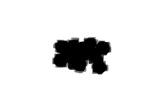 c1ccc(-c2nc(-c3ccccc3)nc(-c3ccc(-n4c5ccccc5c5c6c(c7ccccc7n6-c6ccccc6)c6oc7ccccc7c6c54)c4oc5ccccc5c34)n2)cc1